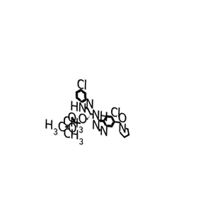 CC(C)(C)OC(=O)COC[C@@H](Nc1ncnc2cc(C(=O)N3CCCC3)c(Cl)cc12)c1nc2cc(Cl)ccc2[nH]1